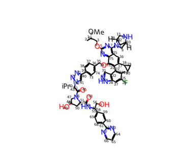 CO[C@@H](C)COc1nc(N2C[C@@H]3C[C@H]2CN3)c2cc(C3CC3)c(-c3c(C)c(F)cc4[nH]ncc34)c(OCc3ccc(-c4cn([C@H](C(=O)N5C[C@H](O)C[C@H]5C(=O)N[C@@H](CO)c5ccc(-c6ncccn6)cc5)C(C)C)nn4)cc3)c2n1